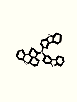 c1ccc2c(c1)Oc1cccc3c(N(c4ccc5oc6ccccc6c5c4)c4ccc5oc6ccccc6c5c4)ccc-2c13